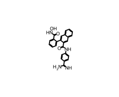 N=C(N)c1ccc(NC(=O)c2cc3ccccc3cc2-c2ccccc2C(=O)NO)cc1